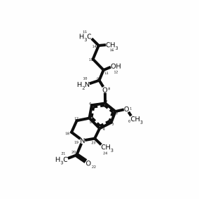 COc1cc2c(cc1OC(N)C(O)CC(C)C)CCN(C(C)=O)C2C